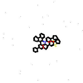 c1ccc(-c2cccc(-c3c(N(c4ccc5c(c4)sc4ccccc45)c4ccccc4-c4ccc5c(c4)sc4ccccc45)c4ccccc4c4ccccc34)c2)cc1